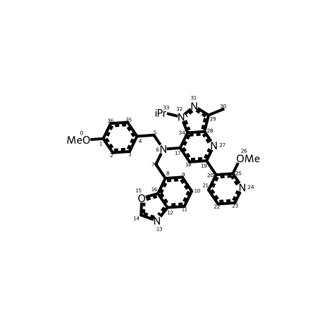 COc1ccc(CN(Cc2cccc3ncoc23)c2cc(-c3cccnc3OC)nc3c(C)nn(C(C)C)c23)cc1